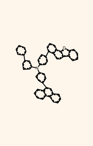 c1ccc(-c2cccc(N(c3ccc(-c4cc5ccccc5c5ccccc45)cc3)c3ccc(-c4cccc5c4ccc4c6ccccc6oc54)cc3)c2)cc1